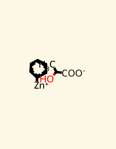 CC(O)C(=O)[O-].[Zn+][c]1ccccc1